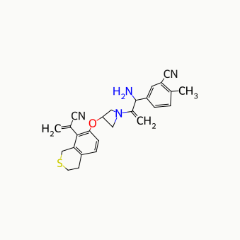 C=C(C#N)c1c(OC2CN(C(=C)C(N)c3ccc(C)c(C#N)c3)C2)ccc2c1CSCC2